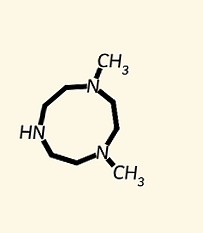 CN1CCNCCN(C)CC1